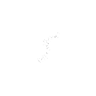 Cn1nc2c(=O)n(CC3(O)CCN(Cc4ccc(-c5ccncc5)cc4Cl)CC3)cnc2c1-c1ccc(CNC(=O)OC(C)(C)C)cc1